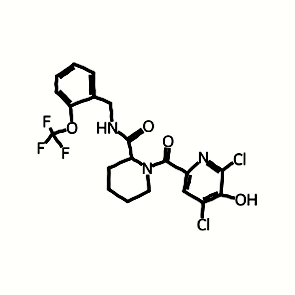 O=C(NCc1ccccc1OC(F)(F)F)C1CCCCN1C(=O)c1cc(Cl)c(O)c(Cl)n1